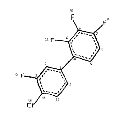 Fc1cc(-c2[c]cc(F)c(F)c2F)ccc1Cl